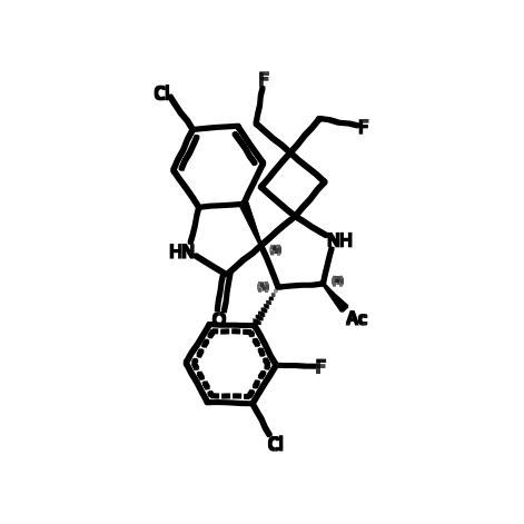 CC(=O)[C@@H]1NC2(CC(CF)(CF)C2)[C@@]2(C(=O)NC3C=C(Cl)C=CC32)[C@H]1c1cccc(Cl)c1F